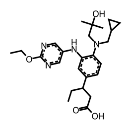 CCOc1ncc(Nc2cc(C(CC)CC(=O)O)ccc2N(CC2CC2)CC(C)(C)O)cn1